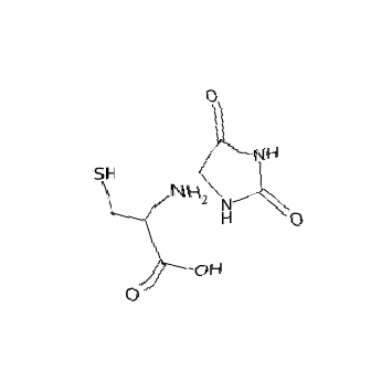 NC(CS)C(=O)O.O=C1CNC(=O)N1